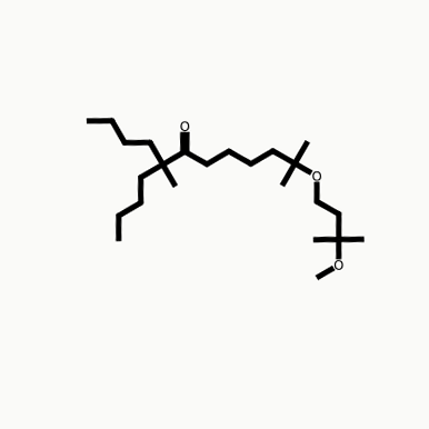 CCCCC(C)(CCCC)C(=O)CCCCC(C)(C)OCCC(C)(C)OC